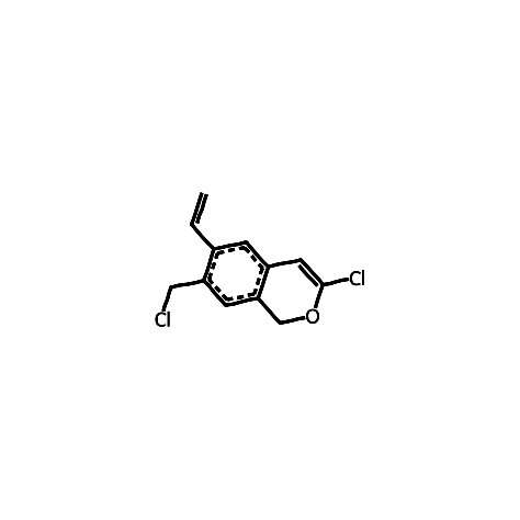 C=Cc1cc2c(cc1CCl)COC(Cl)=C2